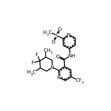 CC1CN(c2ncc(C(F)(F)F)cc2C(=O)Nc2ccnc(S(C)(=O)=O)c2)CC(C)C1(F)F